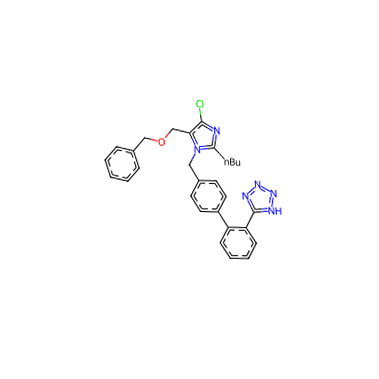 CCCCc1nc(Cl)c(COCc2ccccc2)n1Cc1ccc(-c2ccccc2-c2nnn[nH]2)cc1